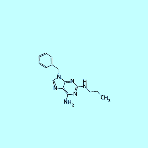 CCCNc1nc(N)c2ncn(Cc3ccccc3)c2n1